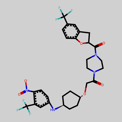 O=C(CO[C@H]1CC[C@H](Nc2ccc([N+](=O)[O-])c(C(F)(F)F)c2)CC1)N1CCN(C(=O)C2Cc3cc(C(F)(F)F)ccc3O2)CC1